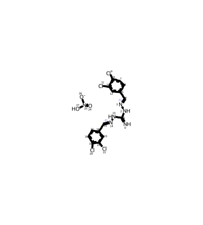 N=C(N/N=C/c1ccc(Cl)c(Cl)c1)N/N=C/c1ccc(Cl)c(Cl)c1.O=[N+]([O-])O